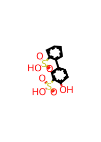 O=S(=O)(O)c1cc(-c2ccccc2S(=O)(=O)O)ccc1O